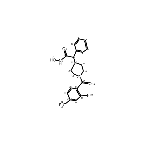 O=C(NO)C(c1ccccc1)N1CCN(C(=O)c2ccc(C(F)(F)F)cc2F)CC1